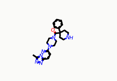 Cc1nnc2ccc(N3CCN(C(=O)C4(c5ccccc5)CCNCC4)CC3)nn12